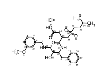 COc1cccc(CNC[C@H](O)[C@H](Cc2ccccc2)NC(=O)C(CC(=O)O)CS(=O)(=O)CCC(C)C)c1.Cl